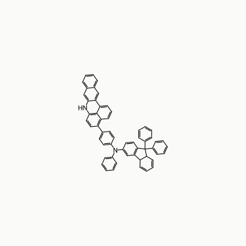 C1=CC2c3cc(N(c4ccccc4)c4ccc(-c5ccc6c7c(cccc57)-c5cc7ccccc7cc5N6)cc4)ccc3C(c3ccccc3)(c3ccccc3)C2C=C1